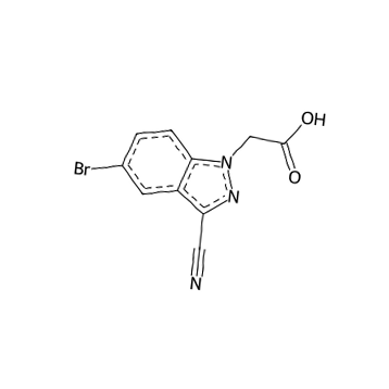 N#Cc1nn(CC(=O)O)c2ccc(Br)cc12